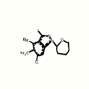 Cc1c(Cl)cc2c(c(I)nn2C2CCCCO2)c1Br